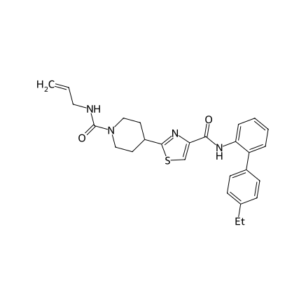 C=CCNC(=O)N1CCC(c2nc(C(=O)Nc3ccccc3-c3ccc(CC)cc3)cs2)CC1